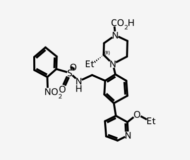 CCOc1ncccc1-c1ccc(N2CCN(C(=O)O)C[C@H]2CC)c(CNS(=O)(=O)c2ccccc2[N+](=O)[O-])c1